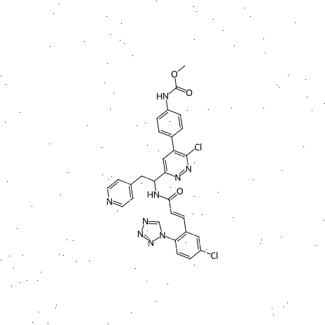 COC(=O)Nc1ccc(-c2cc(C(Cc3ccncc3)NC(=O)C=Cc3cc(Cl)ccc3-n3cnnn3)nnc2Cl)cc1